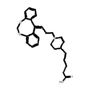 O=C(O)CCCCC1CCN(CCC=C2c3ccccc3OCOc3ccccc32)CC1